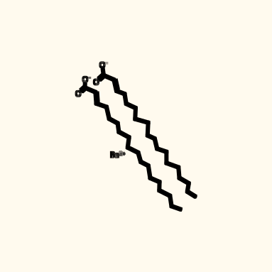 CCCCCCCCCCCCCCCC=CC(=O)[O-].CCCCCCCCCCCCCCCC=CC(=O)[O-].[Ba+2]